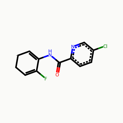 O=C(NC1=C[CH]CC=C1F)c1ccc(Cl)cn1